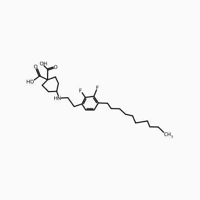 CCCCCCCCCCc1ccc(CCNC2CCC(C(=O)O)(C(=O)O)CC2)c(F)c1F